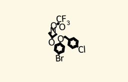 O=C(ON1CC(Oc2cc(Br)ccc2OCc2ccc(Cl)cc2)C1)C(F)(F)F